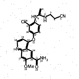 C=C(NCCC#N)Nc1ccc(Oc2ccnc3cc(OC)c(C(N)=O)cc23)cc1Cl